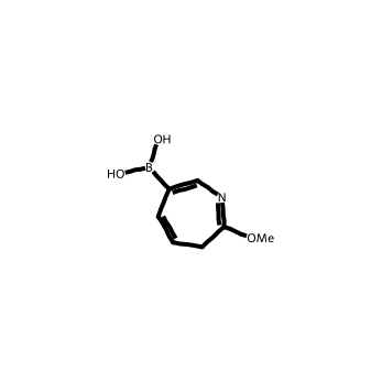 COC1=NC=C(B(O)O)C=CC1